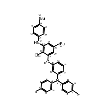 Cc1ccc(N(c2ccc(C)cc2)c2cccc(Oc3cc(C(C)(C)C)cc(Nc4ccc(C(C)(C)C)cc4)c3Cl)c2)cc1